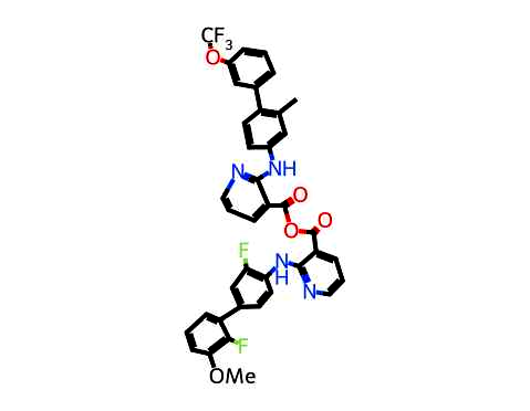 COc1cccc(-c2ccc(Nc3ncccc3C(=O)OC(=O)c3cccnc3Nc3ccc(-c4cccc(OC(F)(F)F)c4)c(C)c3)c(F)c2)c1F